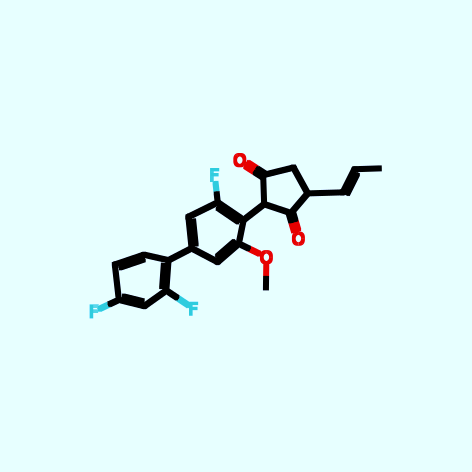 C/C=C/C1CC(=O)C(c2c(F)cc(-c3ccc(F)cc3F)cc2OC)C1=O